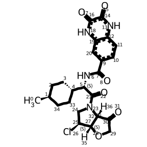 C[C@H]1CC[C@H]([C@H](NC(=O)c2ccc3[nH]c(=O)c(=O)[nH]c3c2)C(=O)N2C[C@H](Cl)[C@H]3OCC(=O)[C@H]32)CC1